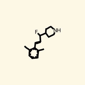 Cc1cccc(C)c1/C=C/C(F)C1CCNCC1